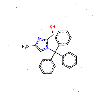 Cc1cn(C(c2ccccc2)(c2ccccc2)c2ccccc2)c(CO)n1